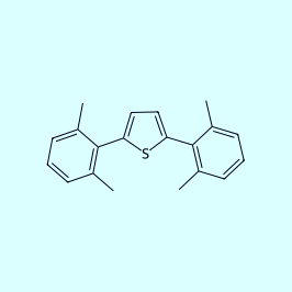 Cc1cccc(C)c1-c1ccc(-c2c(C)cccc2C)s1